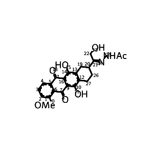 COc1cccc2c1C(=O)c1c(O)c3c(c(O)c1C2=O)CC(/C(CO)=N/NC(C)=O)CC3